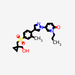 CCCn1cc(-n2cc(-c3ccc(S(=O)(=O)CC4(CO)CC4)cc3C)cn2)ccc1=O